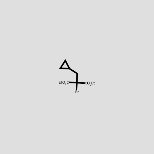 CCOC(=O)C(Br)(CC1CC1)C(=O)OCC